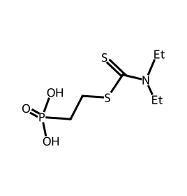 CCN(CC)C(=S)SCCP(=O)(O)O